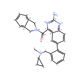 CN(Cc1ccccc1-c1ccc2nc(N)nc(C(=O)N3Cc4ccccc4C3)c2c1)C1CC1